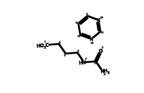 NC(=O)NCCCC(=O)O.c1cncnc1